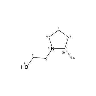 C[C@H]1CCCN1CCO